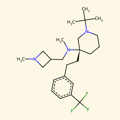 CN1CC(CN(C)[C@@]2(CCc3cccc(C(F)(F)F)c3)CCCN(C(C)(C)C)C2)C1